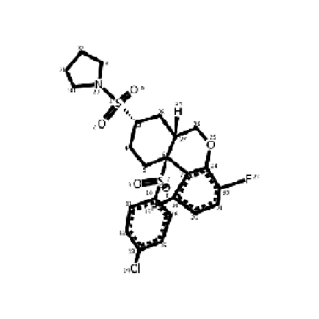 O=S(=O)([C@H]1CC[C@@]2(S(=O)(=O)c3ccc(Cl)cc3)c3c(F)ccc(F)c3OC[C@H]2C1)N1CCCC1